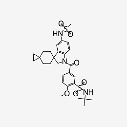 COc1ccc(C(=O)N2CC3(CCC4(CC4)CC3)c3cc(NS(C)(=O)=O)ccc32)cc1S(=O)(=O)NC(C)(C)C